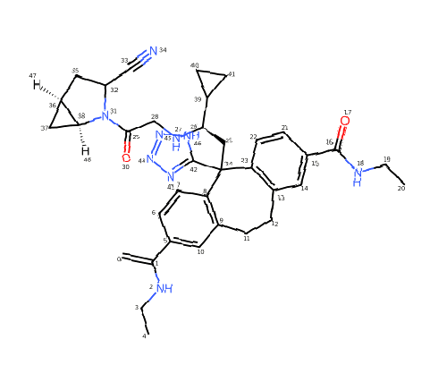 C=C(NCC)c1ccc2c(c1)CCc1cc(C(=O)NCC)ccc1C2(C[C@@H](NCC(=O)N1C(C#N)C[C@@H]2C[C@@H]21)C1CC1)c1nnn[nH]1